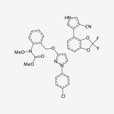 COC(=O)N(OC)c1ccccc1COc1ccn(-c2ccc(Cl)cc2)n1.N#Cc1c[nH]cc1-c1cccc2c1OC(F)(F)O2